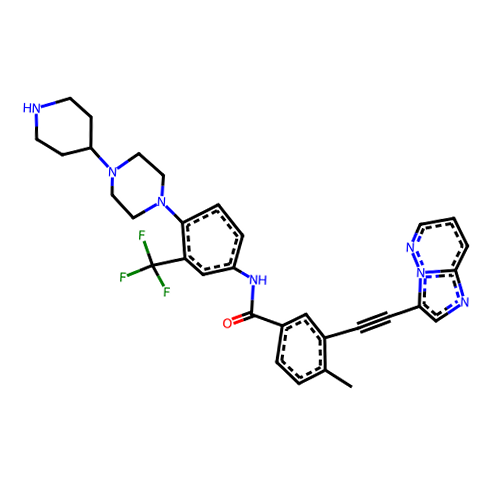 Cc1ccc(C(=O)Nc2ccc(N3CCN(C4CCNCC4)CC3)c(C(F)(F)F)c2)cc1C#Cc1cnc2cccnn12